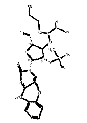 [2H]C[C@H]1O[C@@H](n2cc3c(nc2=O)Nc2ccccc2O3)[C@@H](O[Si](C)(C)C(C)(C)C)C1OP(OCCC#N)N(C(C)C)C(C)C